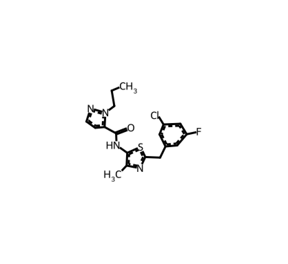 CCCn1nccc1C(=O)Nc1sc(Cc2cc(F)cc(Cl)c2)nc1C